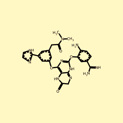 CN(C)C(=O)Cc1cc(OC2=C3NC(=O)CN=C3NC(Oc3cc(C(=N)N)ccc3N)=N2)cc(-c2ncc[nH]2)c1